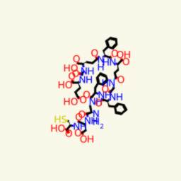 N[C@@H](CNC(=O)C(Cc1ccccc1)NC(=O)[C@H](Cc1ccccc1)NC(=O)CNC(=O)CC[C@@H](NC(=O)[C@H](Cc1ccccc1)NC(=O)CC[C@H](NC(=O)N[C@@H](CCC(=O)O)C(=O)O)C(=O)O)C(=O)O)C(=O)N[C@@H](CC(=O)O)C(=O)N[C@@H](CS)C(=O)O